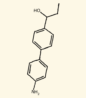 CCC(O)c1ccc(-c2ccc(N)cc2)cc1